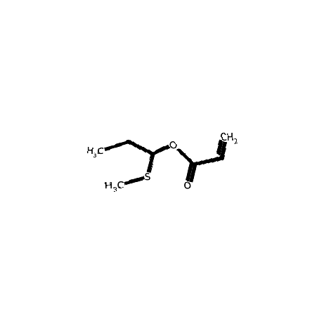 C=CC(=O)OC(CC)SC